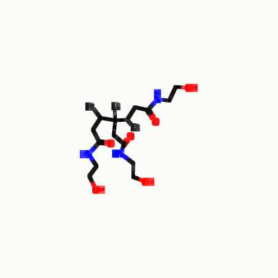 CCC(CC(=O)NCCO)C(CC)(CC(=O)NCCO)C(CC)CC(=O)NCCO